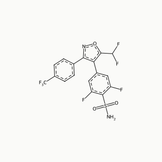 NS(=O)(=O)c1c(F)cc(-c2c(-c3ccc(C(F)(F)F)cc3)noc2C(F)F)cc1F